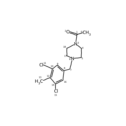 CC(=O)N1CCN(Cc2cc(Cl)c(C)c(Cl)c2)CC1